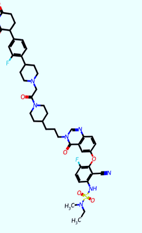 CCN(C)S(=O)(=O)Nc1ccc(F)c(Oc2ccc3ncn(CCCC4CCN(C(=O)CN5CCC(c6ccc(C7CCC(=O)NC7=O)cc6F)CC5)CC4)c(=O)c3c2)c1C#N